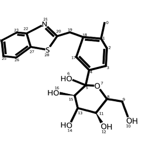 Cc1ccc(C2(O)OC(CO)[C@@H](O)C(O)[C@H]2O)cc1Cc1nc2ccccc2s1